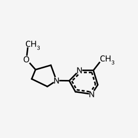 COC1CCN(c2cncc(C)n2)C1